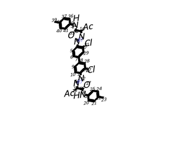 CC(=O)C(/N=N/c1ccc(-c2ccc(/N=N/C(C(C)=O)C(=O)Nc3ccc(C)cc3)c(Cl)c2)cc1Cl)C(=O)Nc1ccc(C)cc1